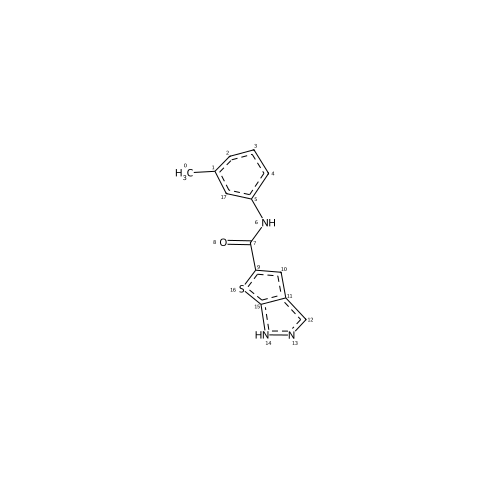 Cc1cccc(NC(=O)c2cc3cn[nH]c3s2)c1